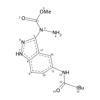 COC(=O)N(N)c1n[nH]c2ccc(NC(=O)C(C)(C)C)cc12